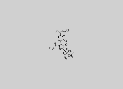 CC(=O)N1N=C(S(=O)(=O)C(C)(C)C)[S+]([O-])C1c1coc2c(Br)cc(Cl)cc2c1=O